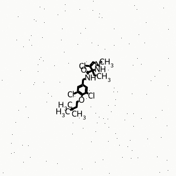 CCC1(C(=O)NCc2cc(Cl)c(OCCC(C)(C)C)c(Cl)c2)NN(C)C=C1Cl